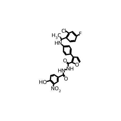 CC(Nc1ccc(-c2ccoc2C(=O)NNC(=O)c2ccc(O)c([N+](=O)[O-])c2)cc1)c1ccc(F)cc1Cl